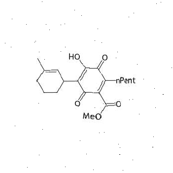 CCCCCC1=C(C(=O)OC)C(=O)C(C2C=C(C)CCC2)=C(O)C1=O